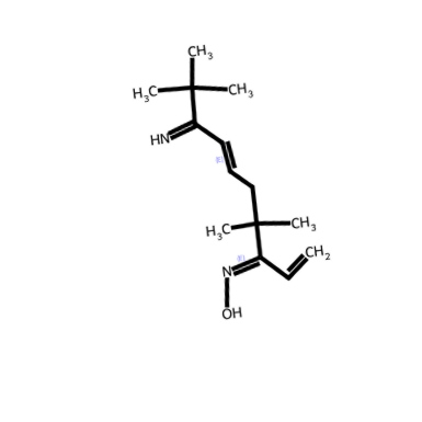 C=C/C(=N\O)C(C)(C)C/C=C/C(=N)C(C)(C)C